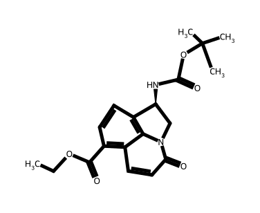 CCOC(=O)c1ccc2c3c1ccc(=O)n3C[C@@H]2NC(=O)OC(C)(C)C